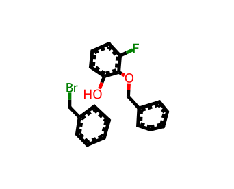 BrCc1ccccc1.Oc1cccc(F)c1OCc1ccccc1